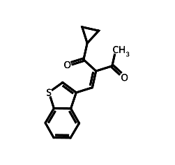 CC(=O)C(=Cc1csc2ccccc12)C(=O)C1CC1